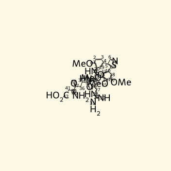 COc1ccc(-c2cnsc2-c2cc(OC)c(OC)c(OC)c2)cc1NC(=O)[C@H](CCCNC(=N)N)NC(=O)CCC(=O)[C@H](N)CC(=O)O